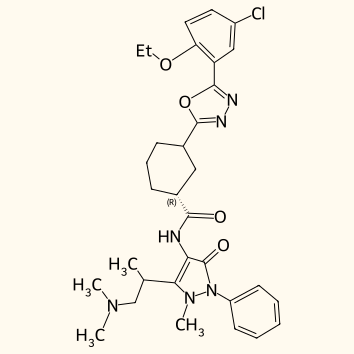 CCOc1ccc(Cl)cc1-c1nnc(C2CCC[C@@H](C(=O)Nc3c(C(C)CN(C)C)n(C)n(-c4ccccc4)c3=O)C2)o1